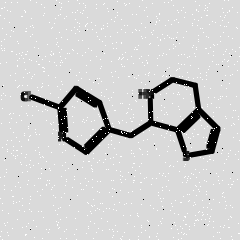 Clc1ccc(CC2NCCc3ccsc32)cn1